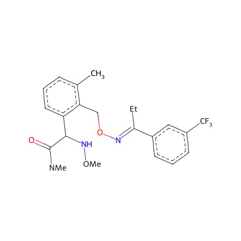 CC/C(=N\OCc1c(C)cccc1C(NOC)C(=O)NC)c1cccc(C(F)(F)F)c1